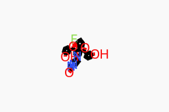 Cc1c(F)cccc1C1[C@@H](C(=O)c2cccc(O)c2)CN(C2CCN(N(C)C=O)C2)C[C@@H]1C(=O)c1cccc(O)c1